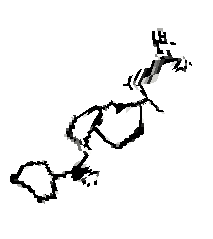 CC(N[S@+]([O-])C(C)(C)C)c1ccc2c(c1)CCN2C(=O)C1CCCCC1